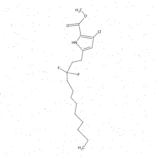 CCCCCCCCCC(F)(F)CCc1cc(Cl)c(C(=O)OC)[nH]1